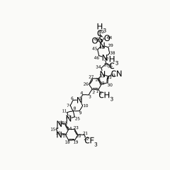 Cc1c(CCN2CCC3(CC2)CN(c2ncnc4ccc(CC(F)(F)F)cc24)C3)ccc2c1cc(C#N)n2CC(C)N1CCN(S(C)(=O)=O)CC1